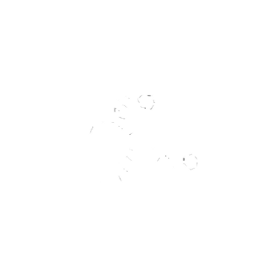 CC(C)(C)OC(=O)NC1CCCCCC=CC2CC2(C(=O)NS(=O)(=O)Nc2ccccc2)NC(=O)C2CC(OC(=O)N3Cc4ccccc4C3)CN2C1=O